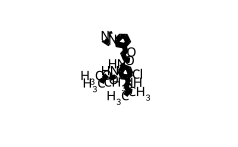 CC(C)CNc1cc(NC(=O)OC(C)(C)C)c(NC(=O)CC(=O)c2cccc(-n3ccnc3)c2)cc1Cl